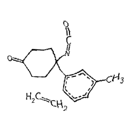 C=C.Cc1cccc(C2(N=C=O)CCC(=O)CC2)c1